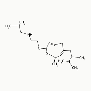 CC(C)CNCCOC1/C=C/C/C(CC(C)N(C)C)=C\[C@@H](C)S1